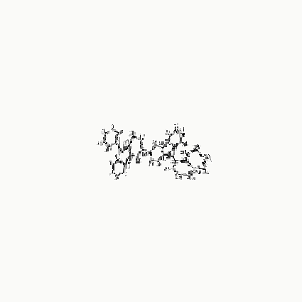 c1ccc(-n2c3ccccc3c3cc(-c4ccc5c(c4)c4ccncc4n5-c4cccc5ccccc45)ccc32)cc1